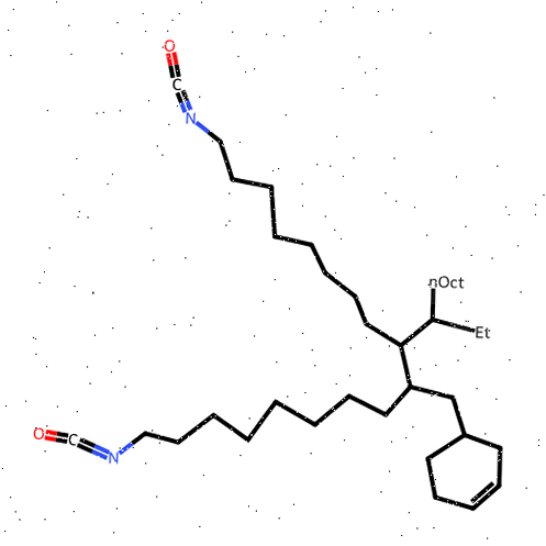 CCCCCCCCC(CC)C(CCCCCCCCN=C=O)C(CCCCCCCCN=C=O)CC1CC=CCC1